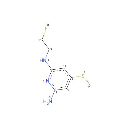 CSc1cc(N)nc(NCCF)c1